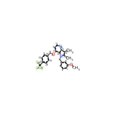 COc1cccc(Cn2c(C)c(C)c3nccc(OCc4ccc(C(F)(F)F)cc4)c32)c1